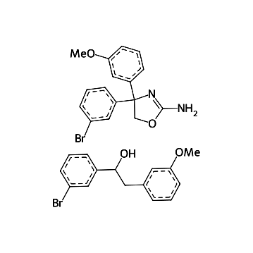 COc1cccc(C2(c3cccc(Br)c3)COC(N)=N2)c1.COc1cccc(CC(O)c2cccc(Br)c2)c1